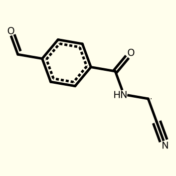 N#C[CH]NC(=O)c1ccc(C=O)cc1